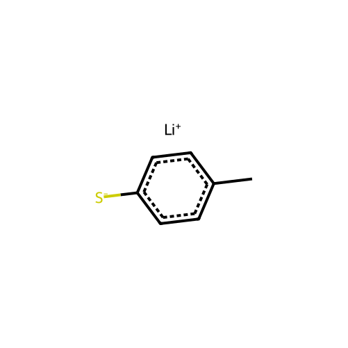 Cc1ccc([S-])cc1.[Li+]